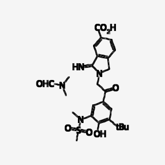 CN(C)C=O.CN(c1cc(C(=O)CN2Cc3ccc(C(=O)O)cc3C2=N)cc(C(C)(C)C)c1O)S(C)(=O)=O